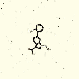 CCC(=O)c1cn(CC(C)(C)C)c2cc(-c3ccccc3C(F)(F)F)ccc12